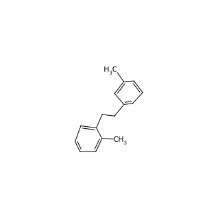 Cc1cccc(CCc2ccccc2C)c1